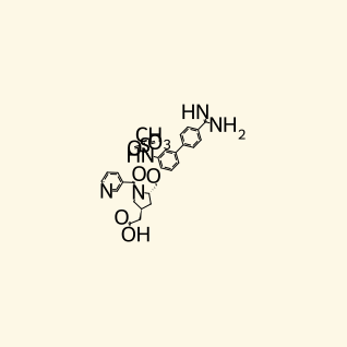 CS(=O)(=O)Nc1cc(-c2ccc(C(=N)N)cc2)ccc1OC[C@@H]1C[C@@H](CC(=O)O)CN1C(=O)c1cccnc1